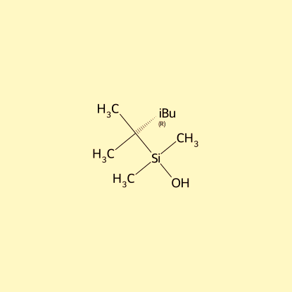 CC[C@@H](C)C(C)(C)[Si](C)(C)O